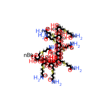 CCCCOC1OC(CSCCCC(N)=O)C(OC2OC(CSCCCC(N)=O)C(OC3OC(CSCCCC(N)=O)C(OC4OC(CSCCCC(N)=O)C(OC5OC(CSCCCC(N)=O)C(OC6OC(CSCCCC(N)=O)C(OC7OC(CSCCCC(N)=O)C(OC8OC(CSCCCC(N)=O)CC(O)C8O)C(O)C7O)C(O)C6O)C(O)C5O)C(O)C4O)C(O)C3O)C(O)C2O)C(O)C1O